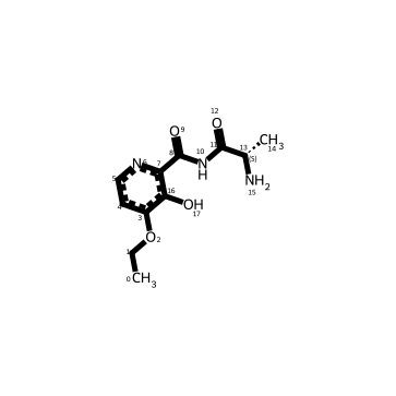 CCOc1ccnc(C(=O)NC(=O)[C@H](C)N)c1O